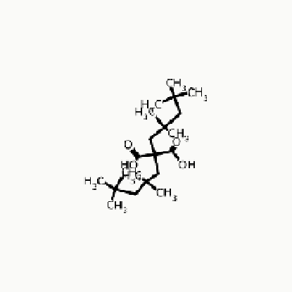 CC(C)(C)CC(C)(C)CC(CC(C)(C)CC(C)(C)C)(C(=O)O)C(=O)O